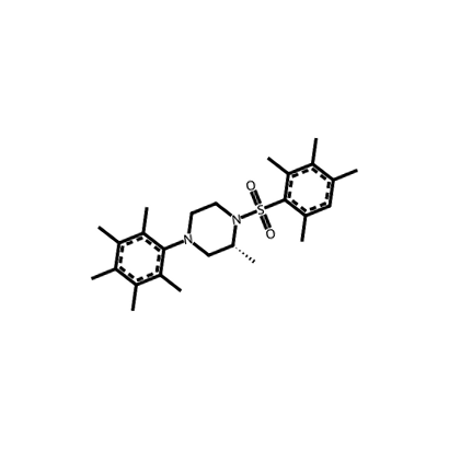 Cc1cc(C)c(S(=O)(=O)N2CCN(c3c(C)c(C)c(C)c(C)c3C)C[C@H]2C)c(C)c1C